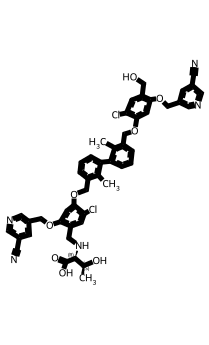 Cc1c(COc2cc(OCc3cncc(C#N)c3)c(CO)cc2Cl)cccc1-c1cccc(COc2cc(OCc3cncc(C#N)c3)c(CN[C@@H](C(=O)O)[C@H](C)O)cc2Cl)c1C